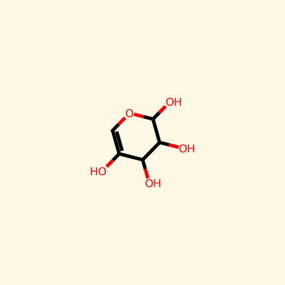 OC1=COC(O)C(O)C1O